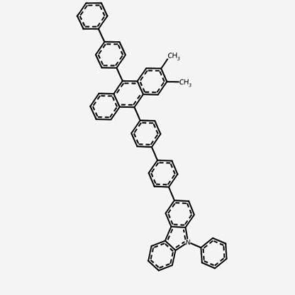 Cc1cc2c(-c3ccc(-c4ccccc4)cc3)c3ccccc3c(-c3ccc(-c4ccc(-c5ccc6c(c5)c5ccccc5n6-c5ccccc5)cc4)cc3)c2cc1C